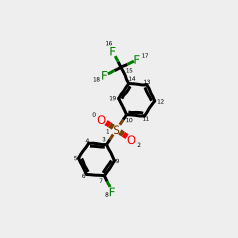 O=S(=O)(c1cccc(F)c1)c1cccc(C(F)(F)F)c1